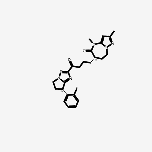 Cc1cc2n(n1)CC[C@H](CCCC(=O)c1nc3n(n1)CC[C@H]3c1ccccc1F)C(=O)N2C